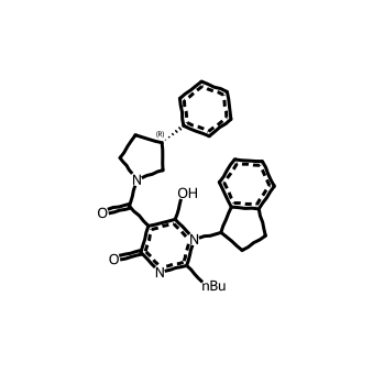 CCCCc1nc(=O)c(C(=O)N2CC[C@H](c3ccccc3)C2)c(O)n1C1CCc2ccccc21